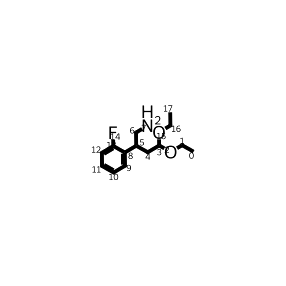 CCOC(CC(CN)c1ccccc1F)OCC